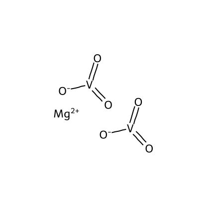 [Mg+2].[O]=[V](=[O])[O-].[O]=[V](=[O])[O-]